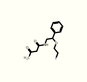 CC(=O)CC(=O)NCC(OCCI)c1ccccc1